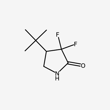 CC(C)(C)C1CNC(=O)C1(F)F